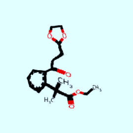 CCOC(=O)C(C)(C)c1ccccc1C(=O)CCC1OCCO1